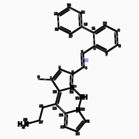 CC1=CC(/C=C/c2ccccc2-c2ccccc2)=[N+]2Bn3cccc3C(CCN)=C12